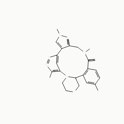 Cc1nnc2cc1N1CCOC[C@@H]1c1cc(F)ccc1C(=O)N(C)Cc1nn(C)cc1-2